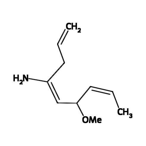 C=CC/C(N)=C\C(/C=C\C)OC